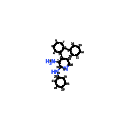 Nc1c(-c2ccccc2-c2ccccc2)ccnc1Nc1ccccc1